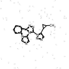 CC1CC1c1cnnn1-c1nnc2c3ccccc3n3cncc3n12